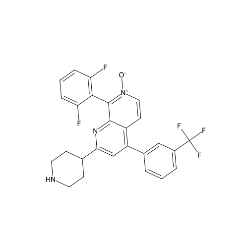 [O-][n+]1ccc2c(-c3cccc(C(F)(F)F)c3)cc(C3CCNCC3)nc2c1-c1c(F)cccc1F